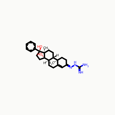 C[C@]12CC[C@H]3[C@@H](CCC4=C/C(=N/NC(=N)N)CC[C@@]43C)[C@@]1(O)CC[C@]2(O)c1ccccc1